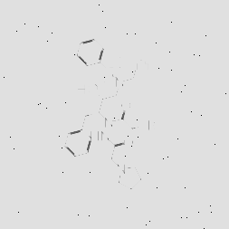 CC[C@H](C)CC(=O)N(NC(=O)CN1CCCC1)[C@@H](Cc1ccccc1)[C@H](O)CN(CC(C)C)S(=O)(=O)c1ccccc1